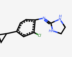 Clc1cc(C2CC2)ccc1N=C1NCCN1